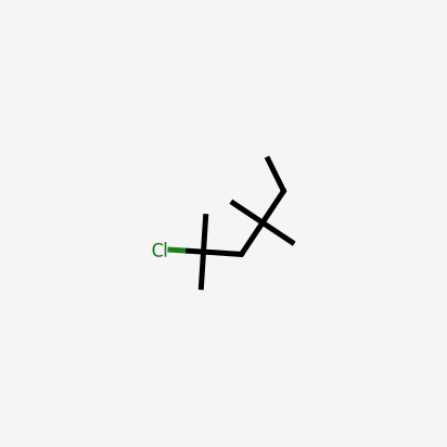 CCC(C)(C)CC(C)(C)Cl